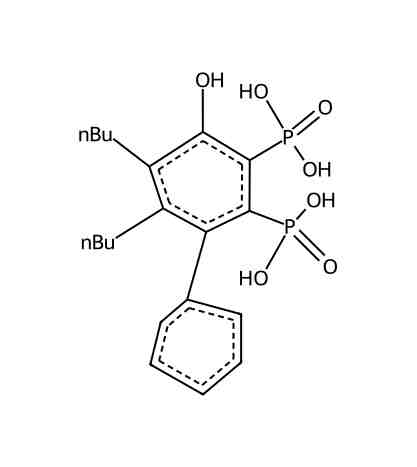 CCCCc1c(O)c(P(=O)(O)O)c(P(=O)(O)O)c(-c2ccccc2)c1CCCC